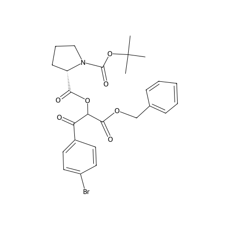 CC(C)(C)OC(=O)N1CCC[C@H]1C(=O)OC(C(=O)OCc1ccccc1)C(=O)c1ccc(Br)cc1